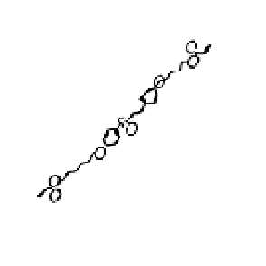 C=CC(=O)OCCCCCCOc1ccc(SC(=O)/C=C/c2ccc(OCCCCOC(=O)C=C)cc2)cc1